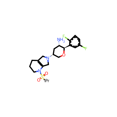 CC(C)S(=O)(=O)N1CCCC2=C1CN([C@H]1CO[C@H](c3cc(F)ccc3F)[C@@H](N)C1)C2